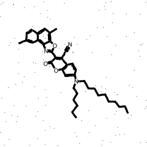 CCCCCCCCCCN(CCCCCC)c1ccc2c(C#N)c(-c3nc4c(o3)c(C)cc3ccc(C)cc34)c(=O)oc2c1